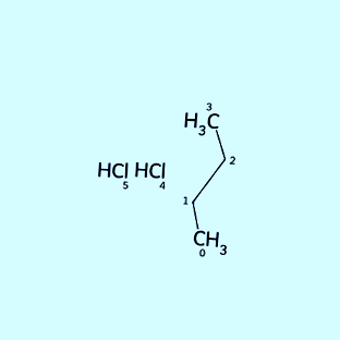 CCCC.Cl.Cl